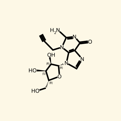 C#CCn1c(N)nc(=O)c2ncn([C@@H]3O[C@H](CO)[C@@H](O)[C@H]3O)c21